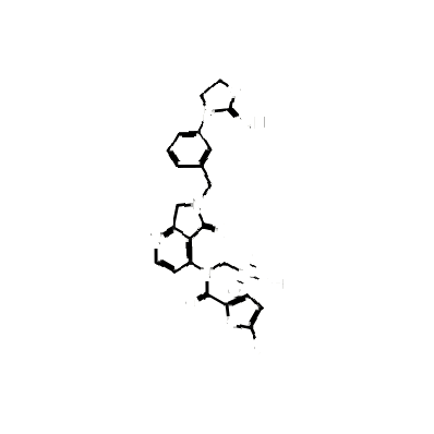 N=C1OCCN1c1cccc(CN2Cc3nccc(N(CS(=O)(=O)O)C(=O)c4ccc(Cl)s4)c3C2=O)c1